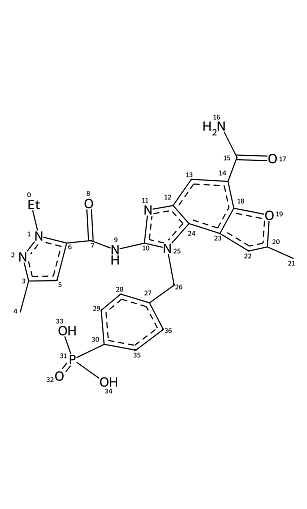 CCn1nc(C)cc1C(=O)Nc1nc2cc(C(N)=O)c3oc(C)cc3c2n1Cc1ccc(P(=O)(O)O)cc1